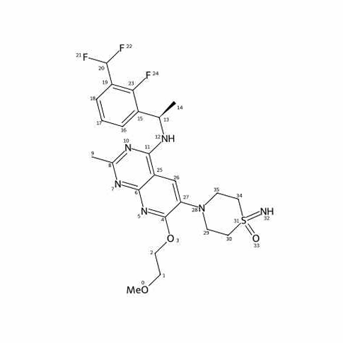 COCCOc1nc2nc(C)nc(N[C@H](C)c3cccc(C(F)F)c3F)c2cc1N1CCS(=N)(=O)CC1